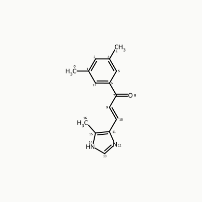 Cc1cc(C)cc(C(=O)C=Cc2nc[nH]c2C)c1